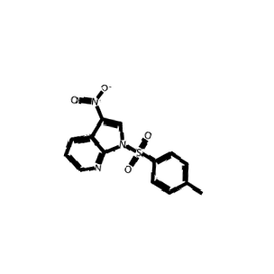 Cc1ccc(S(=O)(=O)n2cc([N+](=O)[O-])c3cccnc32)cc1